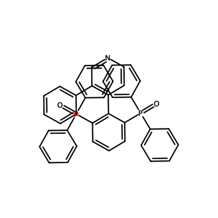 O=P(c1ccccc1)(c1ccccc1)c1cccc(P(=O)(c2ccccc2)c2ccccc2)c1-c1ccncc1-c1ccccc1